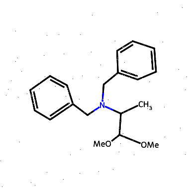 COC(OC)C(C)N(Cc1ccccc1)Cc1ccccc1